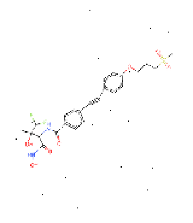 CC(O)(C(F)F)C(NC(=O)c1ccc(C#Cc2ccc(OCCCS(C)(=O)=O)cc2)cc1)C(=O)NO